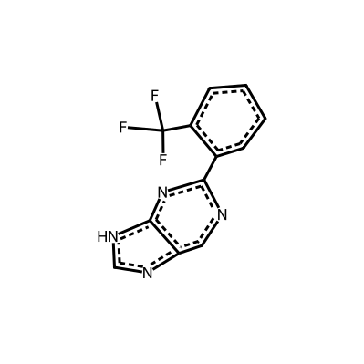 FC(F)(F)c1ccccc1-c1ncc2nc[nH]c2n1